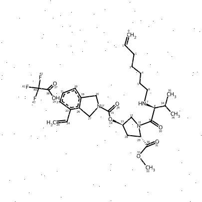 C=CCCCCCN[C@H](C(=O)N1C[C@H](OC(=O)N2Cc3cccc(C=C)c3C2)C[C@H]1C(=O)OC)C(C)C.O=C(O)C(F)(F)F